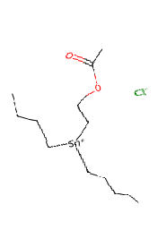 CCC[CH2][Sn+]([CH2]CCC)[CH2]COC(C)=O.[Cl-]